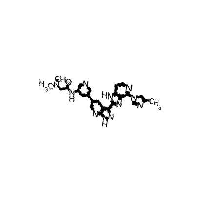 Cc1cn(-c2nccc3[nH]c(-c4n[nH]c5ncc(-c6cncc(NC(=O)CN(C)C)c6)cc45)nc23)cn1